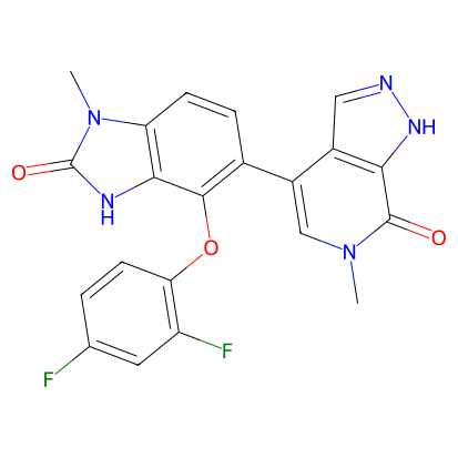 Cn1cc(-c2ccc3c([nH]c(=O)n3C)c2Oc2ccc(F)cc2F)c2cn[nH]c2c1=O